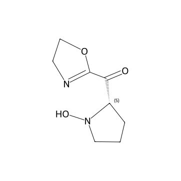 O=C(C1=NCCO1)[C@@H]1CCCN1O